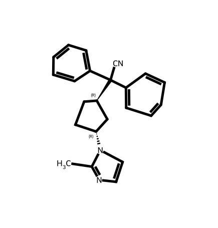 Cc1nccn1[C@@H]1CC[C@@H](C(C#N)(c2ccccc2)c2ccccc2)C1